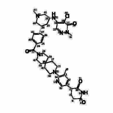 Cc1cc(C2CCC(=O)NC2=O)cnc1N1CCC2(CCN(C(=O)c3ccc([C@H]4C[C@@H](Nc5cnn(C)c(=O)c5Cl)CN(C)C4)cc3)CC2)CC1